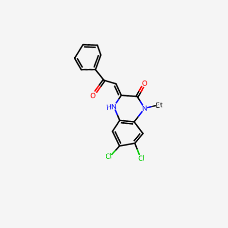 CCN1C(=O)/C(=C/C(=O)c2ccccc2)Nc2cc(Cl)c(Cl)cc21